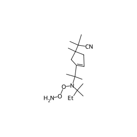 CCC(C)(C)N(OON)C(C)(C)C1=CCC(C)(C(C)(C)C#N)C1